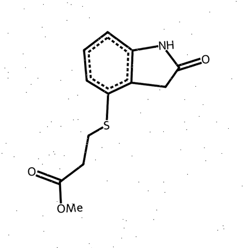 COC(=O)CCSc1cccc2c1CC(=O)N2